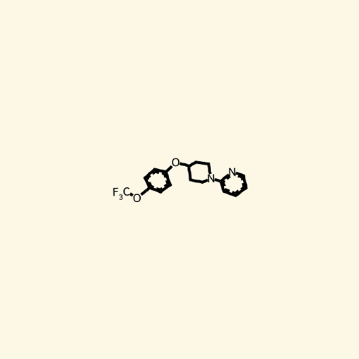 FC(F)(F)Oc1ccc(OC2CCN(c3ccccn3)CC2)cc1